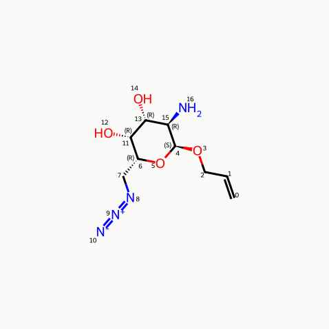 C=CCO[C@H]1O[C@H](CN=[N+]=[N-])[C@H](O)[C@H](O)[C@H]1N